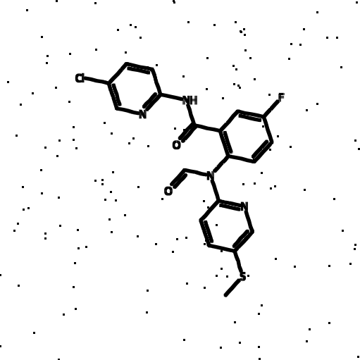 CSc1ccc(N(C=O)c2ccc(F)cc2C(=O)Nc2ccc(Cl)cn2)nc1